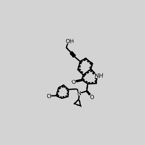 O=C(c1c[nH]c2ccc(C#CCO)cc2c1=O)N(Cc1ccc(Cl)cc1)C1CC1